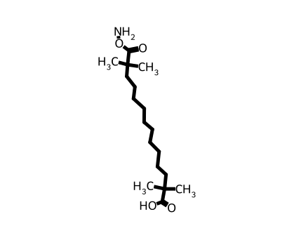 CC(C)(CCCCCCCCCCC(C)(C)C(=O)ON)C(=O)O